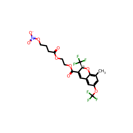 Cc1cc(OC(F)(F)F)cc2c1O[C@H](C(F)(F)F)C(C(=O)OCCOC(=O)CCCO[N+](=O)[O-])=C2